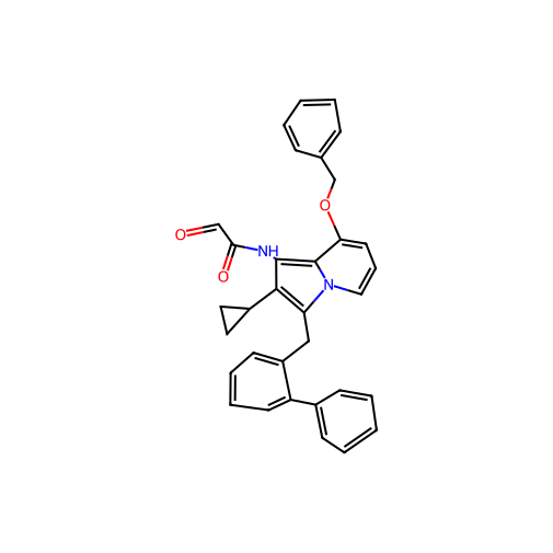 O=CC(=O)Nc1c(C2CC2)c(Cc2ccccc2-c2ccccc2)n2cccc(OCc3ccccc3)c12